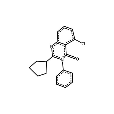 O=c1c2c(Cl)cccc2nc(C2CCCC2)n1-c1ccccc1